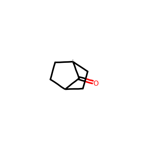 O=C1[C]2CCC1CC2